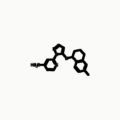 Cc1ccc2c(c1)CCCC2Oc1ccnn1-c1cc(C(=O)O)ccn1